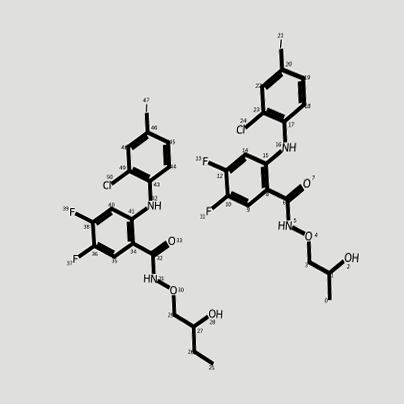 CC(O)CONC(=O)c1cc(F)c(F)cc1Nc1ccc(I)cc1Cl.CCC(O)CONC(=O)c1cc(F)c(F)cc1Nc1ccc(I)cc1Cl